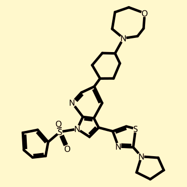 O=S(=O)(c1ccccc1)n1cc(-c2csc(N3CCCC3)n2)c2cc(C3CCC(N4CCCOCC4)CC3)cnc21